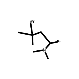 CCC(CC(C)(C)C(C)C)N(C)C